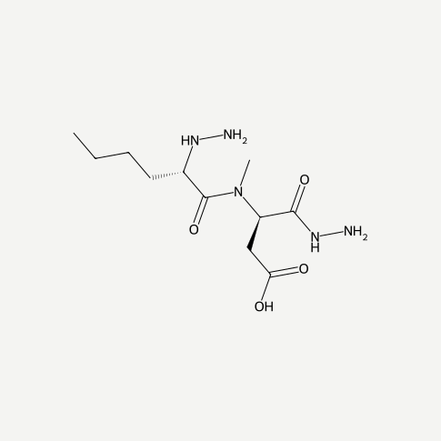 CCCC[C@H](NN)C(=O)N(C)[C@H](CC(=O)O)C(=O)NN